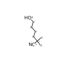 CC(C)(C#N)CCCCO